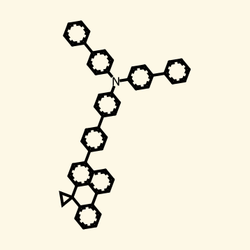 c1ccc(-c2ccc(N(c3ccc(-c4ccccc4)cc3)c3ccc(-c4ccc(-c5ccc6c7c(cccc57)-c5ccccc5C65CC5)cc4)cc3)cc2)cc1